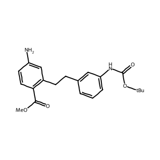 COC(=O)c1ccc(N)cc1CCc1cccc(NC(=O)OC(C)(C)C)c1